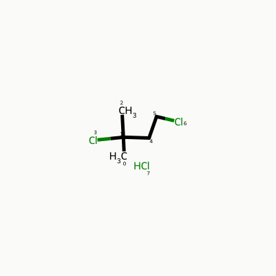 CC(C)(Cl)CCCl.Cl